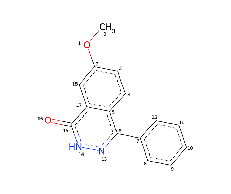 COc1ccc2c(-c3ccccc3)n[nH]c(=O)c2c1